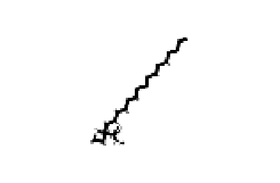 CCCCCCCCCCCCCCCCC1(C(=O)O)CCO1